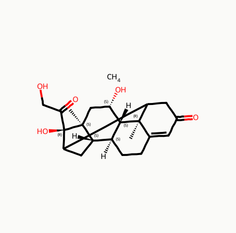 C.C[C@]12C[C@H](O)[C@H]3[C@H]4CCC5=CC(=O)CC(C(C[C@@H]41)[C@]2(O)C(=O)CO)[C@@]53C